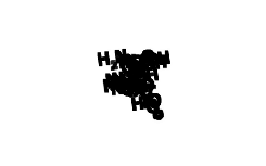 C=Nc1ncnc2c1ncn2[C@@H]1O[C@H](COP(=O)(O)O[C@H]2C[C@H](N3C=CC(N)=NC3O)O[C@@H]2COP(=O)(O)O)[C@@H](OC(=O)[C@H](CCCCNC(=O)OCc2ccccc2)NC(=O)OC(C)(C)C)[C@H]1O